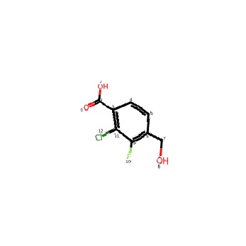 O=C(O)c1ccc(CO)c(F)c1Cl